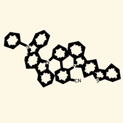 N#Cc1cccc(-c2ccccc2-n2c3ccccc3c3ccc4c(c5ccccc5n4-c4ccccc4)c32)c1-n1c2ccccc2c2cc3c(cc21)sc1ccccc13